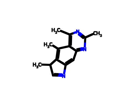 Cc1nc(C)c2c(C)c3c(cc2n1)N=CC3C